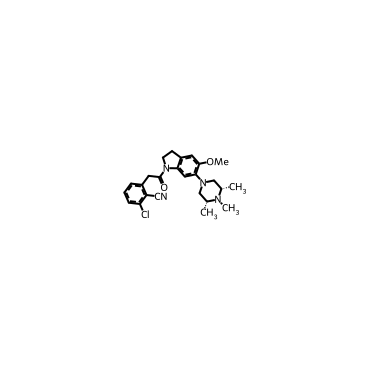 COc1cc2c(cc1N1C[C@@H](C)N(C)[C@@H](C)C1)N(C(=O)Cc1cccc(Cl)c1C#N)CC2